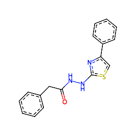 O=C(Cc1ccccc1)NNc1nc(-c2ccccc2)cs1